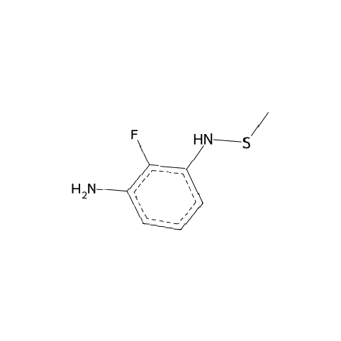 CSNc1cccc(N)c1F